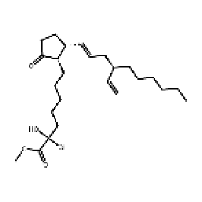 C=C[C@@H](CC=C[C@H]1CCC(=O)[C@@H]1CCCCCC(O)(O)C(=O)OC)CCCCCC